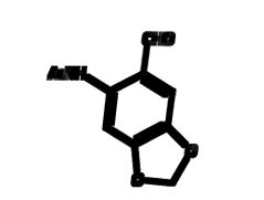 CC(=O)Nc1cc2c(cc1C=O)OCO2